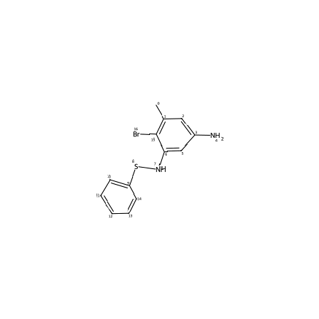 Cc1cc(N)cc(NSc2ccccc2)c1Br